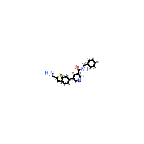 NCc1cc2ccc(-c3cncc(C(=O)NCc4ccccc4)c3)cc2s1